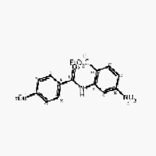 CCCCc1ccc(C(=O)Nc2cc([N+](=O)[O-])ccc2C(=O)OCC)cc1